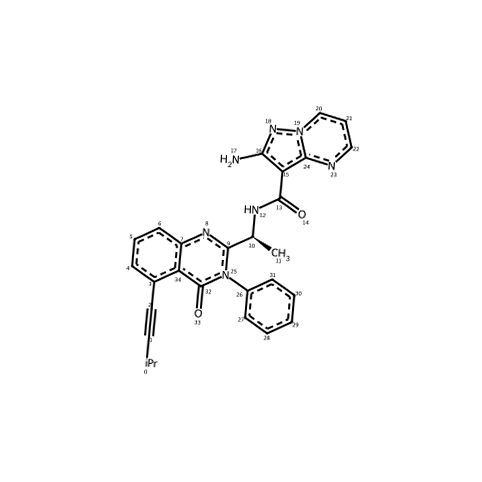 CC(C)C#Cc1cccc2nc([C@H](C)NC(=O)c3c(N)nn4cccnc34)n(-c3ccccc3)c(=O)c12